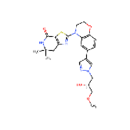 COC[C@H](O)Cn1cc(-c2ccc3c(c2)N(c2nc4c(s2)C(=O)NC(C)(C)C4)CCO3)cn1